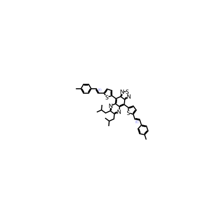 Cc1ccc(/C=C/c2ccc(-c3c4nsnc4c(-c4ccc(/C=C/c5ccc(C)cc5)s4)c4nc(CC(C)C)c(CC(C)C)nc34)s2)cc1